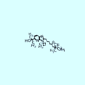 CC(C)(O)c1ccc2nc(CCCCC(=O)CC(C)(O)C(F)(F)F)n(C3(C)CCC3)c2n1